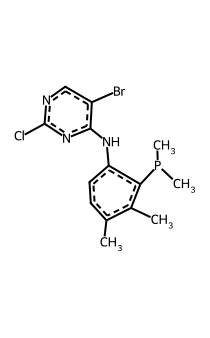 Cc1ccc(Nc2nc(Cl)ncc2Br)c(P(C)C)c1C